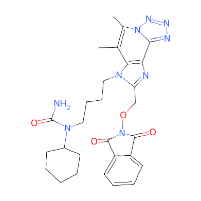 Cc1c(C)n2nnnc2c2nc(CON3C(=O)c4ccccc4C3=O)n(CCCCN(C(N)=O)C3CCCCC3)c12